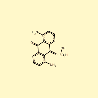 Nc1cccc2c1C(=O)c1cccc(N)c1C2=O.O=S(=O)(O)O